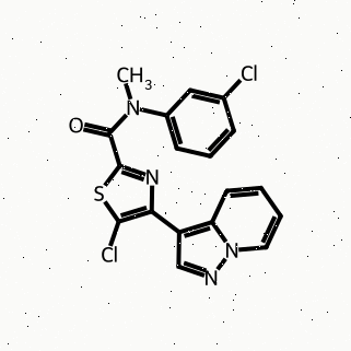 CN(C(=O)c1nc(-c2cnn3ccccc23)c(Cl)s1)c1cccc(Cl)c1